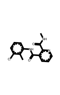 CNC(=O)c1ncccc1C(=O)Nc1cccc(Cl)c1C